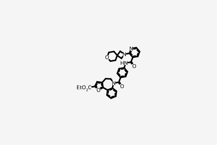 CCOC(=O)c1cc2c(o1)-c1ccccc1N(C(=O)c1ccc(NC(=O)c3cccnc3N3CC4(CCOCC4)C3)cc1)CC2